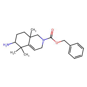 CC12CCC(N)C(C)(C)C1=CCN(C(=O)OCc1ccccc1)C2